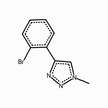 Cn1cc(-c2ccccc2Br)nn1